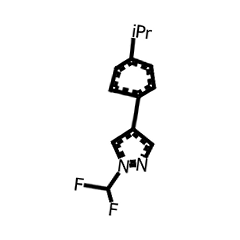 CC(C)c1ccc(-c2cnn(C(F)F)c2)cc1